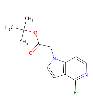 CC(C)(C)OC(=O)Cn1ccc2c(Br)nccc21